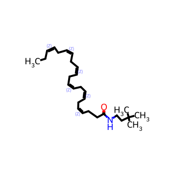 CC/C=C\C/C=C\C/C=C\C/C=C\C/C=C\C/C=C\CCC(=O)NCCC(C)(C)C